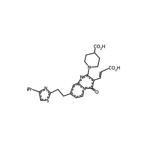 CC(C)c1csc(CCc2ccn3c(=O)c(/C=C/C(=O)O)c(N4CCC(C(=O)O)CC4)nc3c2)n1